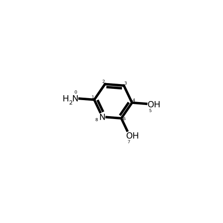 Nc1ccc(O)c(O)n1